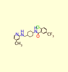 Cc1ccnc(NCC2CCC(NC(=O)c3cc(C(F)(F)F)ccc3Cl)CC2)c1